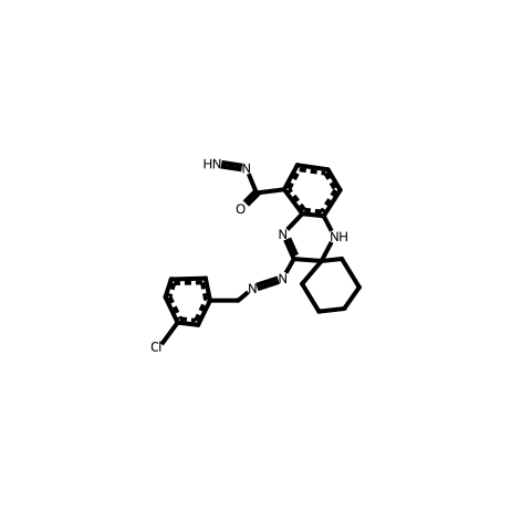 N=NC(=O)c1cccc2c1N=C(N=NCc1cccc(Cl)c1)C1(CCCCC1)N2